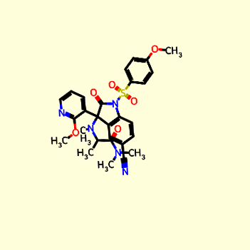 COc1ccc(S(=O)(=O)N2C(=O)C(c3cccnc3OC)(N(C)C(C)C(=O)N(C)C)c3cc(C#N)ccc32)cc1